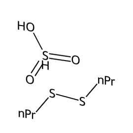 CCCSSCCC.O=[SH](=O)O